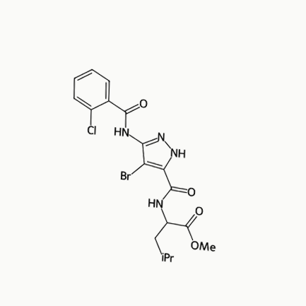 COC(=O)C(CC(C)C)NC(=O)c1[nH]nc(NC(=O)c2ccccc2Cl)c1Br